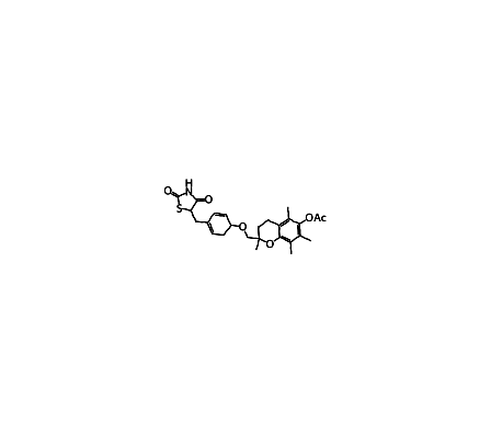 CC(=O)Oc1c(C)c(C)c2c(c1C)CCC(C)(COC1C=CC(CC3SC(=O)NC3=O)=CC1)O2